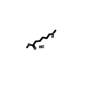 CNCCCCCC(=O)OC.Cl